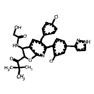 CC(C)(C)C(=O)C1Oc2nc(-c3ccc(-c4cc[nH]n4)cc3Cl)c(-c3ccc(Cl)cc3)cc2C1NC(=O)CO